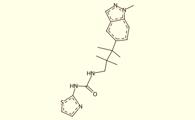 Cn1ncc2cc(C(C)(C)C(C)(C)CNC(=O)Nc3nccs3)ccc21